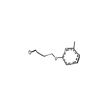 Cc1cccc(OCCC[O])n1